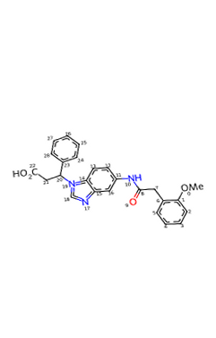 COc1ccccc1CC(=O)Nc1ccc2c(c1)ncn2C(CC(=O)O)c1ccccc1